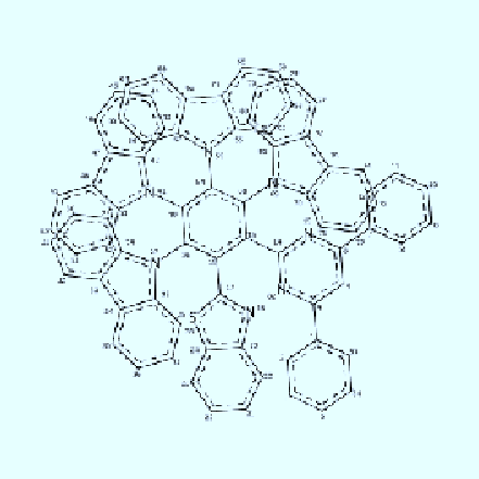 c1ccc(-c2cc(-c3ccccc3)nc(-c3c(-c4nc5ccccc5s4)c(-n4c5ccccc5c5ccccc54)c(-n4c5ccccc5c5ccccc54)c(-n4c5ccccc5c5ccccc54)c3-n3c4ccccc4c4ccccc43)n2)cc1